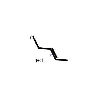 C/C=C/CCl.Cl